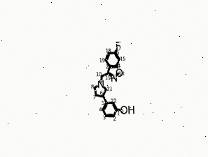 Oc1cccc(C2CCN(Cc3noc4cc(F)ccc34)C2)c1